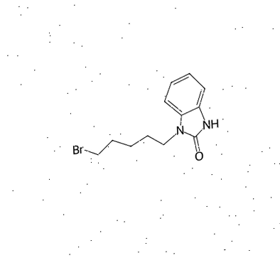 O=c1[nH]c2ccccc2n1CCCCCBr